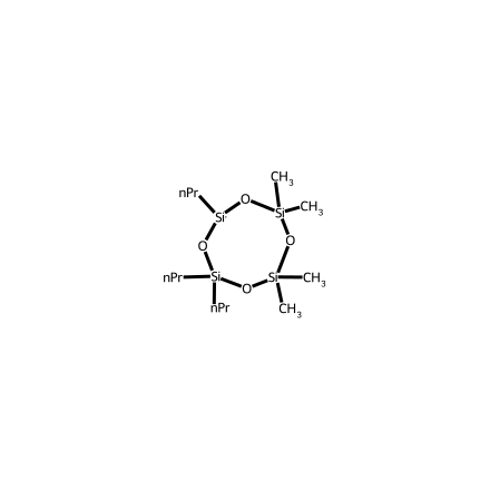 CCC[Si]1O[Si](C)(C)O[Si](C)(C)O[Si](CCC)(CCC)O1